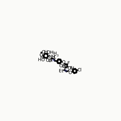 CC/C(=C/COc1ccc(Cl)cc1F)[C@H]1O[C@@H](Oc2ccc(/C=C(\C)C(=O)N[C@@H]3[C@H](O)[C@@H](O)[C@H]4OCO[C@H]4[C@@H]3O)cc2O)[C@@H](F)[C@@H]1O